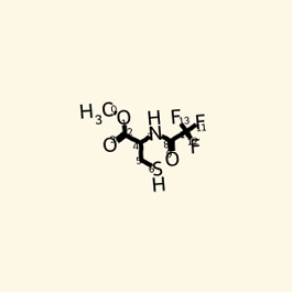 COC(=O)C(CS)NC(=O)C(F)(F)F